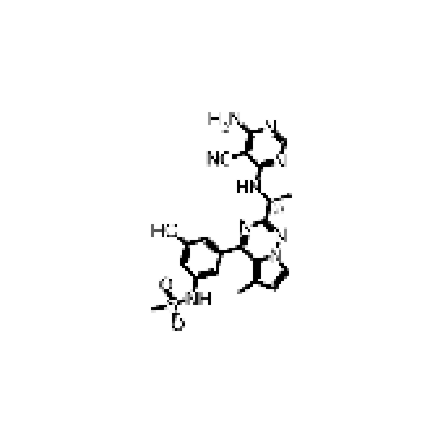 Cc1ccn2nc([C@H](C)Nc3ncnc(N)c3C#N)nc(-c3cc(O)cc(NS(C)(=O)=O)c3)c12